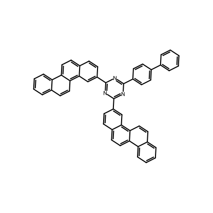 c1ccc(-c2ccc(-c3nc(-c4ccc5ccc6c7ccccc7ccc6c5c4)nc(-c4ccc5ccc6c7ccccc7ccc6c5c4)n3)cc2)cc1